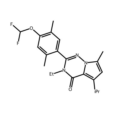 CCn1c(-c2cc(C)c(OC(F)F)cc2C)nn2c(C)cc(C(C)C)c2c1=O